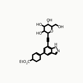 CCOC(=O)C1CC=C(c2cc(C#CC3OC(CO)[C@@H](O)C(O)C3O)c3[nH]ncc3c2)CC1